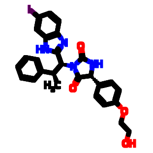 C[C@@H](c1ccccc1)[C@@H](c1nc2ccc(I)cc2[nH]1)N1C(=O)N[C@H](c2ccc(OCCO)cc2)C1=O